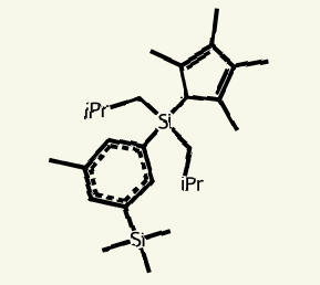 CC1=C(C)C(C)=C(C)[C]1[Si](CC(C)C)(CC(C)C)c1cc(C)cc([Si](C)(C)C)c1